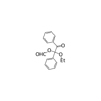 CCOC(OC=O)(C(=O)c1ccccc1)c1ccccc1